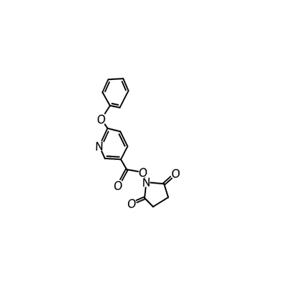 O=C(ON1C(=O)CCC1=O)c1ccc(Oc2ccccc2)nc1